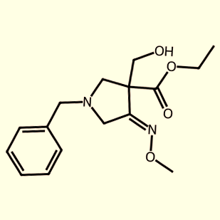 CCOC(=O)C1(CO)CN(Cc2ccccc2)C/C1=N\OC